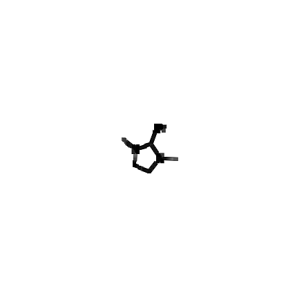 CC(C)C1N(C)CCN1C